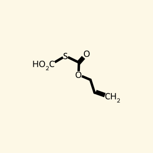 C=CCOC(=O)SC(=O)O